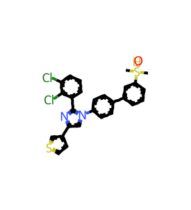 C[SH](C)(=O)c1cccc(-c2ccc(-n3cc(-c4ccsc4)nc3-c3cccc(Cl)c3Cl)cc2)c1